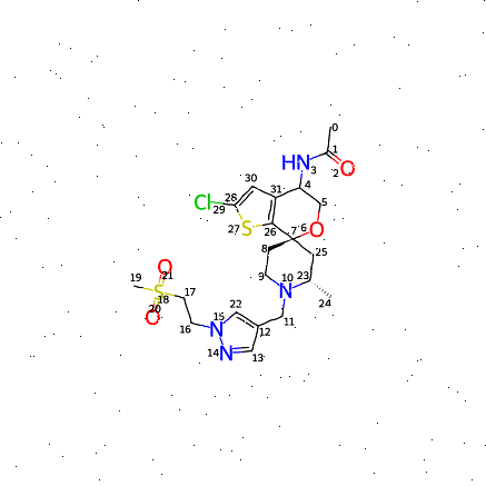 CC(=O)NC1CO[C@@]2(CCN(Cc3cnn(CCS(C)(=O)=O)c3)[C@@H](C)C2)c2sc(Cl)cc21